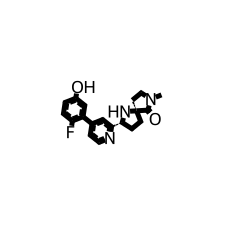 CN1CC[C@@]2(CC[C@H](c3cc(-c4cc(O)ccc4F)ccn3)N2)C1=O